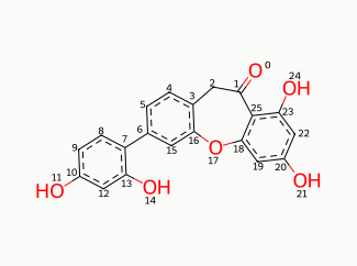 O=C1Cc2ccc(-c3ccc(O)cc3O)cc2Oc2cc(O)cc(O)c21